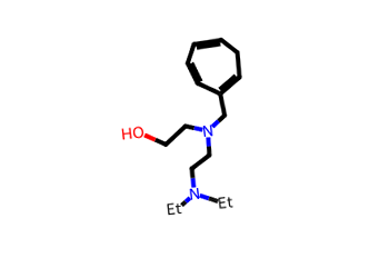 CCN(CC)CCN(CCO)CC1=CCC=CC=C1